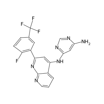 Nc1cc(Nc2cc(-c3cc(C(F)(F)F)ccc3F)nc3ncccc23)ncn1